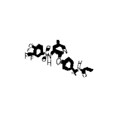 C=CC(=O)N[C@@H](C)c1ccc(Oc2ncc(C)cc2NS(=O)(=O)c2ccc(Cl)c(C(F)(F)F)c2)cc1